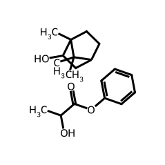 CC(O)C(=O)Oc1ccccc1.CC1(C)C2CCC1(C)C(O)C2